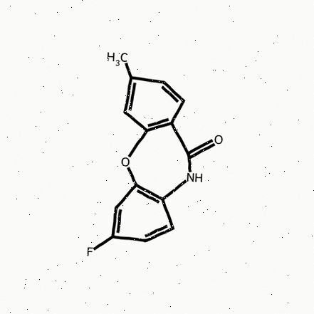 Cc1ccc2c(c1)Oc1cc(F)ccc1NC2=O